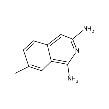 Cc1ccc2cc(N)nc(N)c2c1